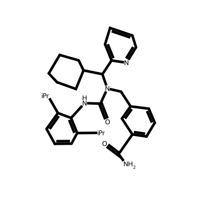 CC(C)c1cccc(C(C)C)c1NC(=O)N(Cc1cccc(C(N)=O)c1)C(c1ccccn1)C1CCCCC1